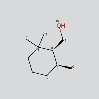 C[C@H]1CCCC(C)(C)[C@H]1CO